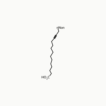 CCCCCCCCCCC#CCCCCCCCCCCC(=O)O